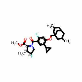 COC(=O)[C@@H]1[C@@H](C)[C@@H](F)CN1C(=O)c1cc(C2CC2)c(OCC23CC(C)CC(CC(C)C2)C3)cc1F